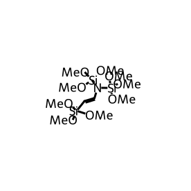 CO[Si](C=CN([Si](OC)(OC)OC)[Si](OC)(OC)OC)(OC)OC